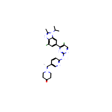 Cc1nc2c(F)cc(-c3nc(Nc4ccc([C@H](C)N5CCC(=O)CC5)cn4)ncc3F)cc2n1C(C)C